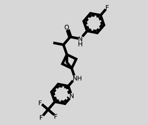 CC(C(=O)Nc1ccc(F)cc1)C12CC(Nc3ccc(C(F)(F)F)cn3)(C1)C2